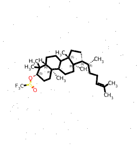 CC(C)=CCC[C@@H](C)[C@H]1CC[C@@]2(C)C3CC[C@H]4C(C)(C)[C@@H](OS(=O)C(F)(F)F)CC[C@]4(C)C3CC[C@]12C